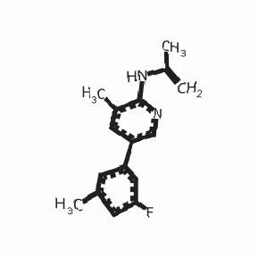 C=C(C)Nc1ncc(-c2cc(C)cc(F)c2)cc1C